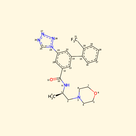 C[C@H](CN1CCOCC1)NC(=O)c1cc(-c2ccccc2C(F)(F)F)cc(-n2cnnn2)c1